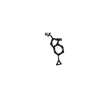 Cc1cc2cc(C3CC3)ccc2[nH]1